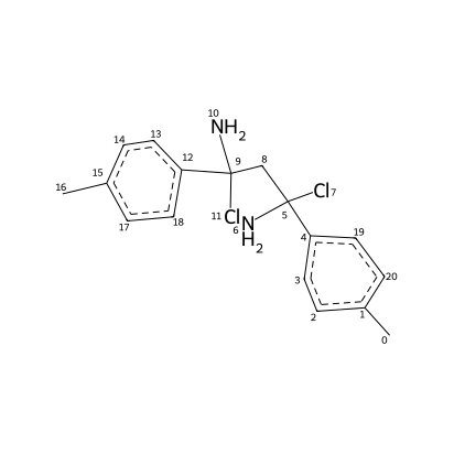 Cc1ccc(C(N)(Cl)CC(N)(Cl)c2ccc(C)cc2)cc1